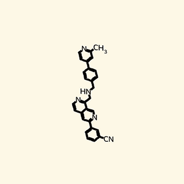 Cc1cc(-c2ccc(CNCc3nccc4cc(-c5cccc(C#N)c5)ncc34)cc2)ccn1